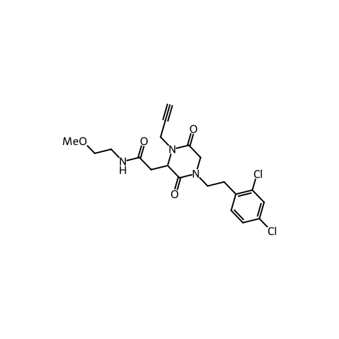 C#CCN1C(=O)CN(CCc2ccc(Cl)cc2Cl)C(=O)C1CC(=O)NCCOC